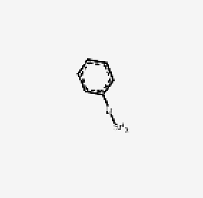 [SiH3][Lr][c]1ccccc1